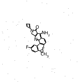 COc1ccc(F)cc1-c1c(F)ccc2c(N)c3c(nc12)CN(C1=CC=C1)C3=O